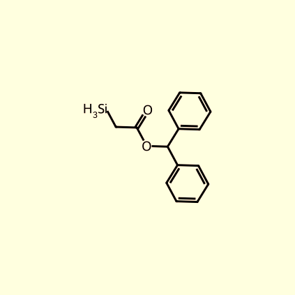 O=C(C[SiH3])OC(c1ccccc1)c1ccccc1